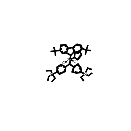 CC[Si](CC)(CC)c1ccc([C](c2ccc([Si](CC)(CC)CC)cc2)=[Zr]([Cl])([Cl])([CH]2C=CC=C2)[CH]2c3cc(C(C)(C)C)ccc3-c3ccc(C(C)(C)C)cc32)cc1